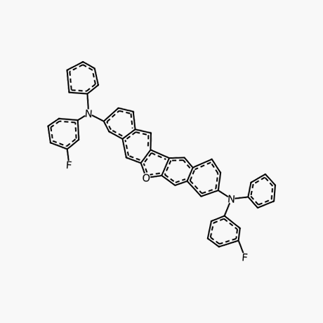 Fc1cccc(N(c2ccccc2)c2ccc3cc4c(cc3c2)oc2cc3cc(N(c5ccccc5)c5cccc(F)c5)ccc3cc24)c1